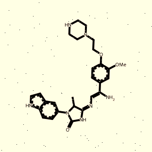 COc1cc(/C(N)=C/N=C2/NC(=O)N(c3ccc4[nH]ccc4c3)C2C)ccc1OCCN1CCNCC1